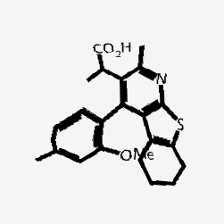 COc1cc(C)ccc1-c1c(C(C)C(=O)O)c(C)nc2sc3c(c12)CCCC3